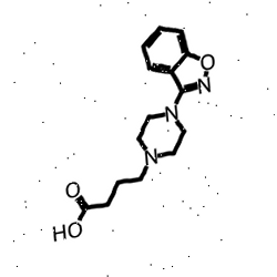 O=C(O)CCCN1CCN(c2noc3ccccc23)CC1